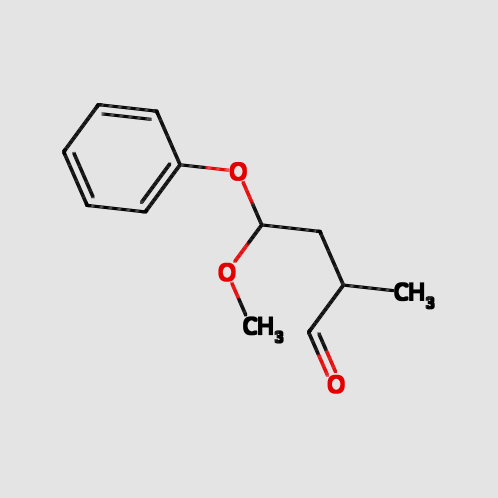 COC(CC(C)C=O)Oc1ccccc1